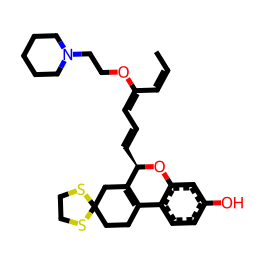 C\C=C/C(=C\C=C\[C@H]1Oc2cc(O)ccc2C2=C1CC1(CC2)SCCS1)OCCN1CCCCC1